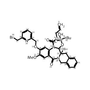 C=CCOC(=O)N1c2cc(OCc3cccc(CBr)n3)c(OC)cc2C(=O)N2Cc3ccccc3C[C@H]2C1O[Si](C)(C)C(C)(C)C